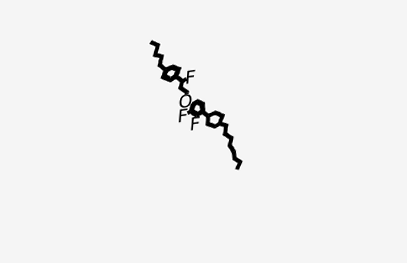 CCCCCCCCC1CCC(c2ccc(OCCC(F)c3ccc(CCCCC)cc3)c(F)c2F)CC1